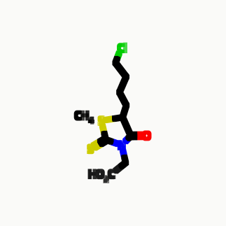 C.O=C(O)CN1C(=O)C(CCCCCl)SC1=S